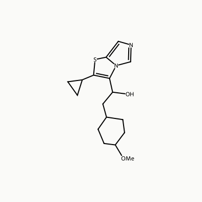 COC1CCC(CC(O)c2c(C3CC3)sc3cncn23)CC1